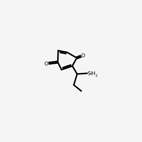 CCC([SiH3])C1=CC(=O)C=CC1=O